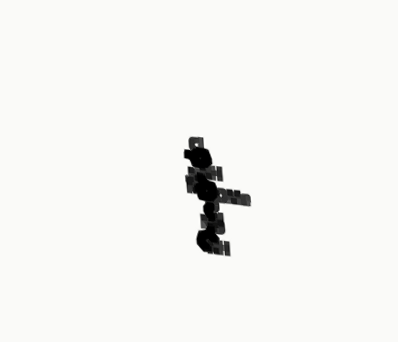 COc1cc2c(Nc3ccc(Cl)c(C)c3)ncnc2cc1OCc1noc(C2CCCNC2)n1